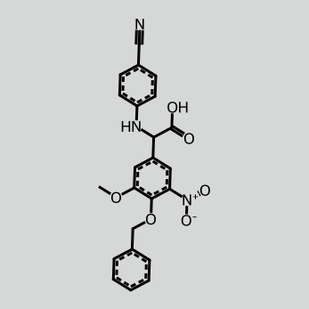 COc1cc(C(Nc2ccc(C#N)cc2)C(=O)O)cc([N+](=O)[O-])c1OCc1ccccc1